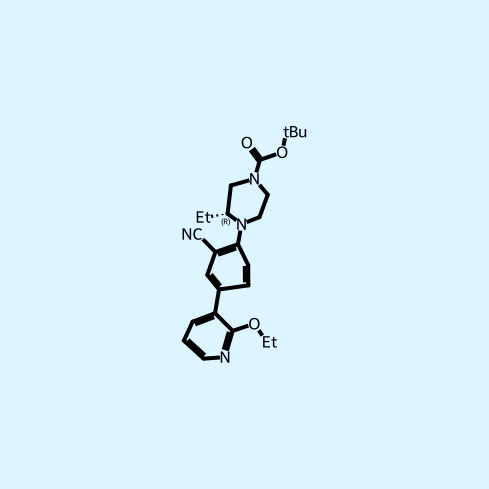 CCOc1ncccc1-c1ccc(N2CCN(C(=O)OC(C)(C)C)C[C@H]2CC)c(C#N)c1